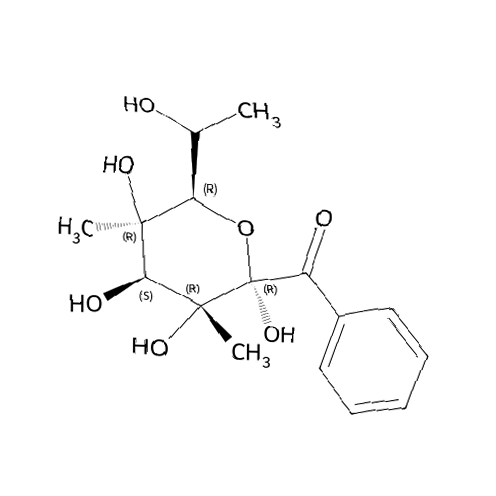 CC(O)[C@H]1O[C@@](O)(C(=O)c2ccccc2)[C@](C)(O)[C@@H](O)[C@@]1(C)O